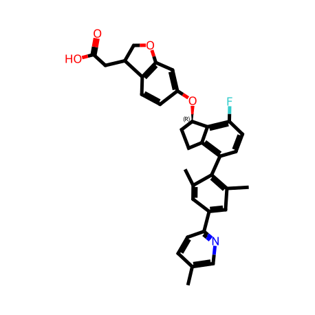 Cc1ccc(-c2cc(C)c(-c3ccc(F)c4c3CC[C@H]4Oc3ccc4c(c3)OCC4CC(=O)O)c(C)c2)nc1